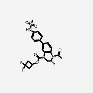 CC(=O)N1c2ccc(-c3ccc(NS(C)(=O)=O)cc3)cc2N(C(=O)OC2CC(F)(F)C2)C[C@@H]1C